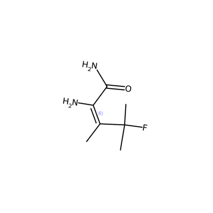 C/C(=C(\N)C(N)=O)C(C)(C)F